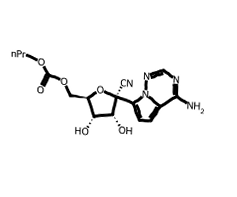 CCCOC(=O)OC[C@H]1O[C@@](C#N)(c2ccc3c(N)ncnn23)[C@H](O)[C@@H]1O